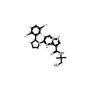 CC(C)(CO)NC(=O)c1cnn2ccc(N3CCCC3c3cc(F)ccc3F)nc12